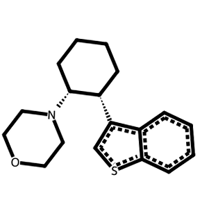 c1ccc2c([C@H]3CCCC[C@H]3N3CCOCC3)csc2c1